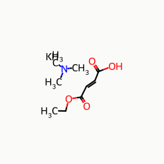 CCOC(=O)/C=C/C(=O)O.CN(C)C.[KH]